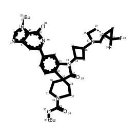 CC[C@H](C)n1cnc2cc(-c3ccc4c(c3)N(C3CC(N5CC[C@]6(C5)CC6(F)F)C3)C(=O)C43CCN(C(=O)OC(C)(C)C)CC3)nc(Cl)c21